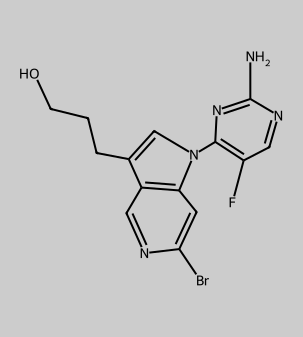 Nc1ncc(F)c(-n2cc(CCCO)c3cnc(Br)cc32)n1